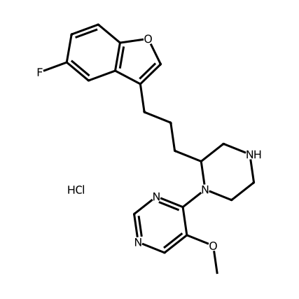 COc1cncnc1N1CCNCC1CCCc1coc2ccc(F)cc12.Cl